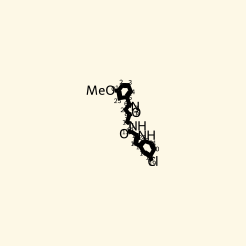 COc1cccc(C2=NOC(CNC(=O)c3cc4cc(Cl)ccc4[nH]3)C2)c1